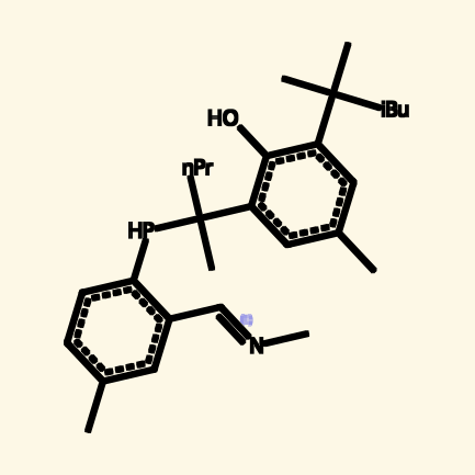 CCCC(C)(Pc1ccc(C)cc1/C=N/C)c1cc(C)cc(C(C)(C)C(C)CC)c1O